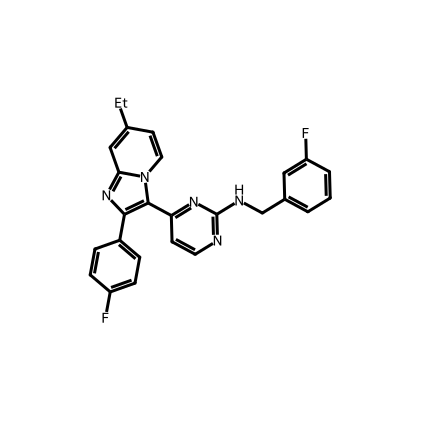 CCc1ccn2c(-c3ccnc(NCc4cccc(F)c4)n3)c(-c3ccc(F)cc3)nc2c1